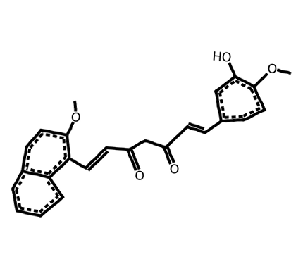 COc1ccc(/C=C/C(=O)CC(=O)/C=C/c2c(OC)ccc3ccccc23)cc1O